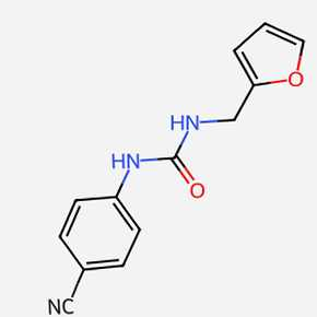 N#Cc1ccc(NC(=O)NCc2ccco2)cc1